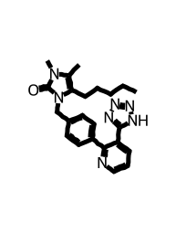 CCCCCc1c(C)n(C)c(=O)n1Cc1ccc(-c2ncccc2-c2nnn[nH]2)cc1